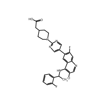 CC(Nc1c(Cl)cnc2cc(F)c(-c3cnc(N4CCC(CC(=O)O)CC4)nc3)cc12)c1ccccc1F